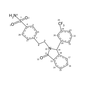 NS(=O)(=O)c1ccc(CCN2C(=O)c3ccccc3C2c2cccc(C(F)(F)F)c2)cc1